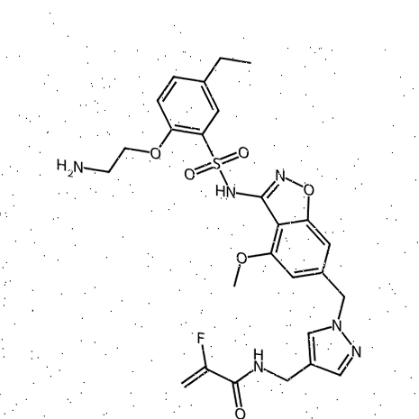 C=C(F)C(=O)NCc1cnn(Cc2cc(OC)c3c(NS(=O)(=O)c4cc(CC)ccc4OCCN)noc3c2)c1